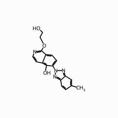 Cc1ccc2nn(-c3ccc4c(OCCO)nccc4c3O)nc2c1